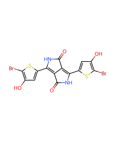 O=C1NC(c2cc(O)c(Br)s2)=C2C(=O)NC(c3cc(O)c(Br)s3)=C12